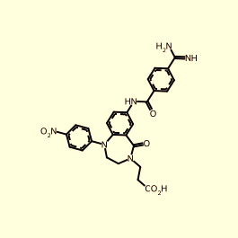 N=C(N)c1ccc(C(=O)Nc2ccc3c(c2)C(=O)N(CCC(=O)O)CCN3c2ccc([N+](=O)[O-])cc2)cc1